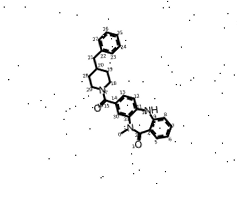 CN1C(=O)c2ccccc2Nc2ccc(C(=O)N3CCC(Cc4ccccc4)CC3)cc21